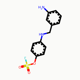 Nc1cccc(CNc2ccc(OS(=O)(=O)F)cc2)c1